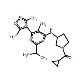 Cc1noc(C)c1-c1nc(C(C)C)nc(NC2CCN(C(=O)C3CC3)C2)c1C